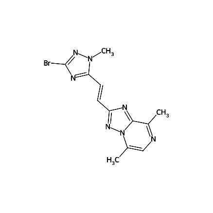 Cc1ncc(C)n2nc(C=Cc3nc(Br)nn3C)nc12